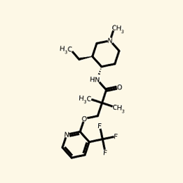 CC[C@H]1CN(C)CC[C@@H]1NC(=O)C(C)(C)COc1ncccc1C(F)(F)F